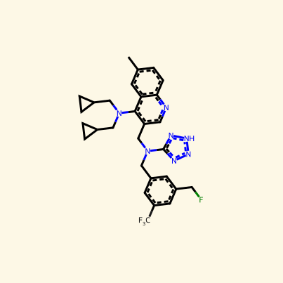 Cc1ccc2ncc(CN(Cc3cc(CF)cc(C(F)(F)F)c3)c3nn[nH]n3)c(N(CC3CC3)CC3CC3)c2c1